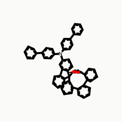 c1ccc(-c2ccc(N(c3ccc(-c4ccccc4)cc3)c3ccc4c(c3)-c3ccccc3C43c4ccccc4-c4ccccc4-c4ccccc4-c4ccccc43)cc2)cc1